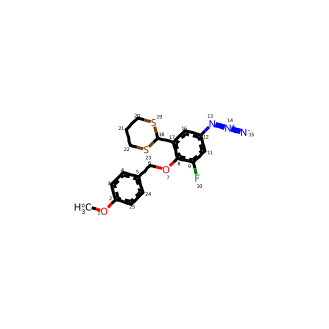 COc1ccc(COc2c(F)cc(N=[N+]=[N-])cc2C2SCCCS2)cc1